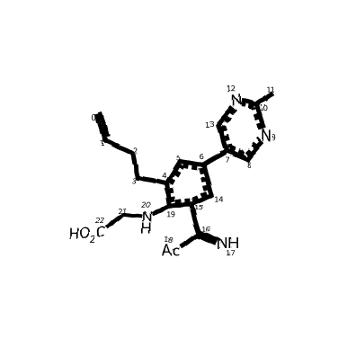 C=CCCc1cc(-c2cnc(C)nc2)cc(C(=N)C(C)=O)c1NCC(=O)O